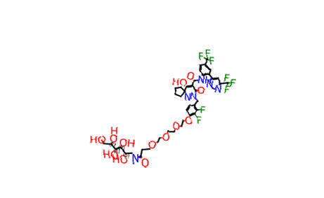 CN(C[C@H](O)[C@@H](O)[C@H](O)[C@H](O)CO)C(=O)CCOCCOCCOCCOc1ccc(CN2C(=O)C(C(=O)Nc3ccc(C(F)(F)F)cc3-c3cc(C(F)(F)F)ncn3)=C(O)C3(CCCC3)N2C)c(F)c1F